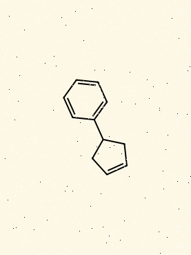 C1=CCC(c2ccccc2)C1